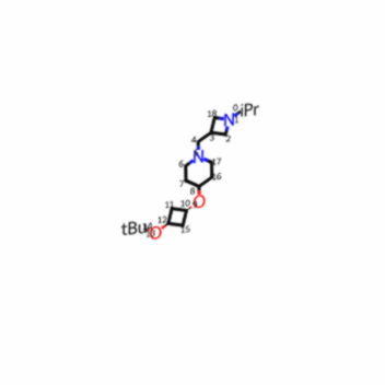 CC(C)N1CC(CN2CCC(O[C@H]3C[C@H](OC(C)(C)C)C3)CC2)C1